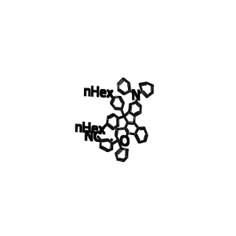 CCCCCCc1ccc(C2(c3ccc(CCCCCC)cc3)c3cc(N(c4ccccc4)c4ccccc4)ccc3-c3c2c2c(c4ccccc34)OC(c3[c]c(C#N)ccc3)(c3ccccc3)C=C2)cc1